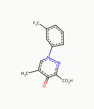 Cc1cn(-c2cccc(C(F)(F)F)c2)nc(C(=O)O)c1=O